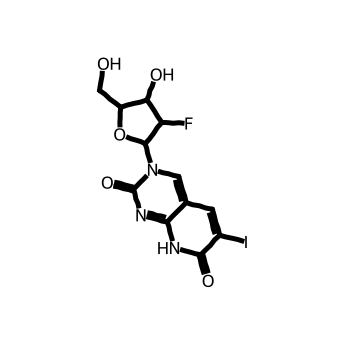 O=c1[nH]c2nc(=O)n(C3OC(CO)C(O)C3F)cc2cc1I